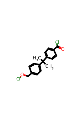 CC(C)(c1ccc(COCl)cc1)c1ccc(C(=O)Cl)cc1